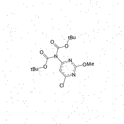 COc1nc(Cl)cc(N(C(=O)OC(C)(C)C)C(=O)OC(C)(C)C)n1